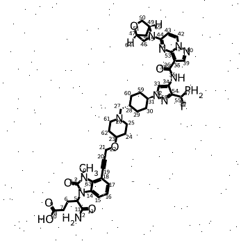 Cn1c(=O)n(C(CCC(=O)O)C(N)=O)c2cccc(C#CCOC3CCN(C[C@H]4CC[C@H](n5cc(NC(=O)c6cnn7ccc(N8C[C@H]9C[C@@H]8CO9)nc67)c(C(F)P)n5)CC4)CC3)c21